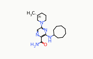 C[C@@H]1CCCN(c2cnc(C(N)=O)c(NC3CCCCCCC3)n2)C1